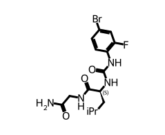 CC(C)C[C@H](NC(=O)Nc1ccc(Br)cc1F)C(=O)NCC(N)=O